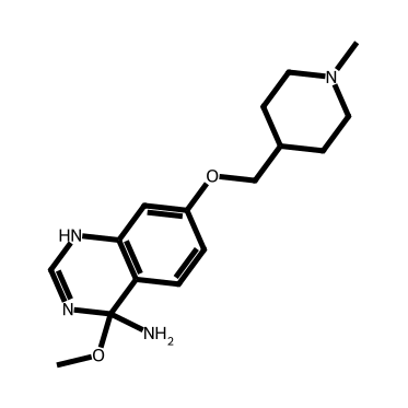 COC1(N)N=CNc2cc(OCC3CCN(C)CC3)ccc21